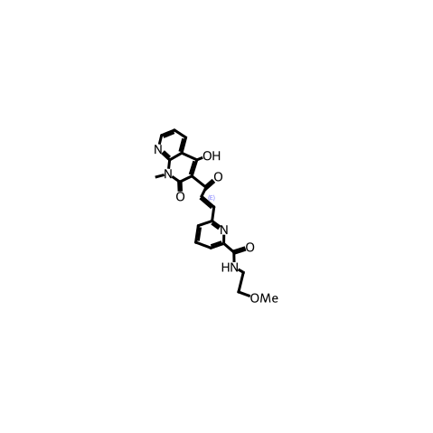 COCCNC(=O)c1cccc(/C=C/C(=O)c2c(O)c3cccnc3n(C)c2=O)n1